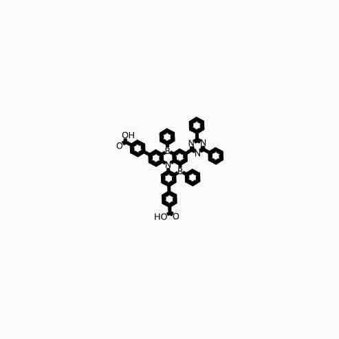 O=C(O)c1ccc(-c2ccc3c(c2)B(c2ccccc2)c2cc(-c4nc(-c5ccccc5)nc(-c5ccccc5)n4)cc4c2N3c2ccc(-c3ccc(C(=O)O)cc3)cc2B4c2ccccc2)cc1